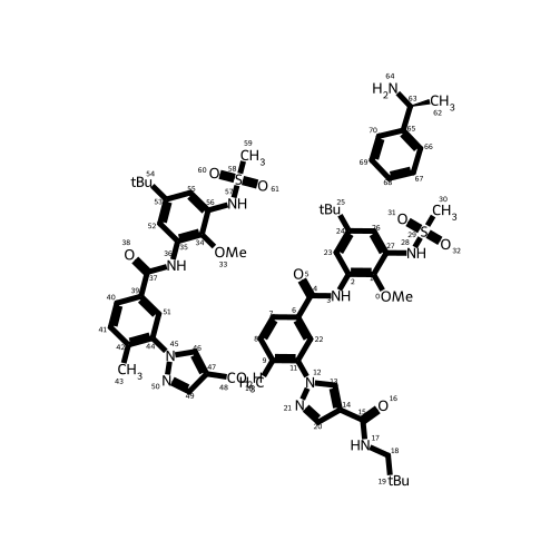 COc1c(NC(=O)c2ccc(C)c(-n3cc(C(=O)NCC(C)(C)C)cn3)c2)cc(C(C)(C)C)cc1NS(C)(=O)=O.COc1c(NC(=O)c2ccc(C)c(-n3cc(C(=O)O)cn3)c2)cc(C(C)(C)C)cc1NS(C)(=O)=O.C[C@H](N)c1ccccc1